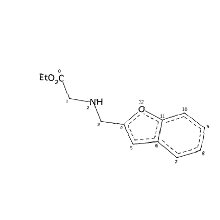 CCOC(=O)CNCc1cc2ccccc2o1